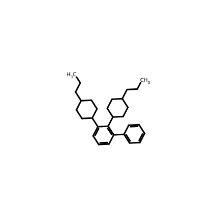 CCCC1CCC(c2cccc(-c3ccccc3)c2C2CCC(CCC)CC2)CC1